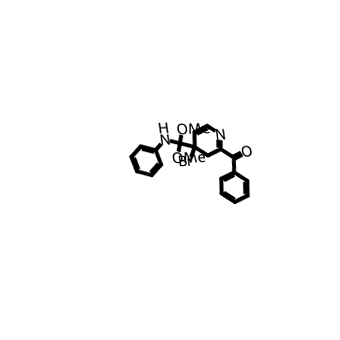 COC(Nc1ccccc1)(OC)C1(Br)C=CN=C(C(=O)c2ccccc2)C1